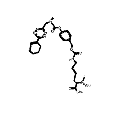 CN(Cc1nnc(C2=CCCCC2)nn1)C(=O)Oc1ccc(COC(=O)NCCCC[C@H](C(=O)C(C)(C)C)N(I)C(C)(C)C)cc1